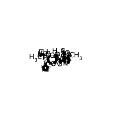 COc1ccnc(C(=O)N[C@H]2COC[C@H](CC3CCCC3)[C@@H](OCC(C)C)[C@H](C)OC2=O)c1OC(C)=O